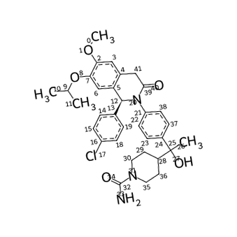 COc1cc2c(cc1OC(C)C)[C@H](c1ccc(Cl)cc1)N(c1ccc(C(C)(O)C3CCN(C(N)=O)CC3)cc1)C(=O)C2